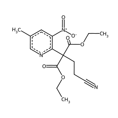 CCOC(=O)C(CCC#N)(C(=O)OCC)c1ncc(C)cc1[N+](=O)[O-]